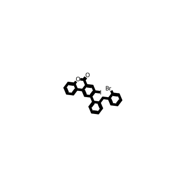 O=c1oc2ccccc2c2cc(-c3ccccc3Cc3ccccc3Br)c(I)cc12